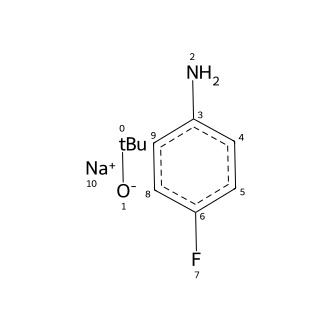 CC(C)(C)[O-].Nc1ccc(F)cc1.[Na+]